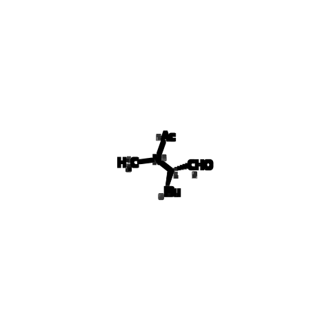 CC[C@H](C)[C@@H](C=O)N(C)C(C)=O